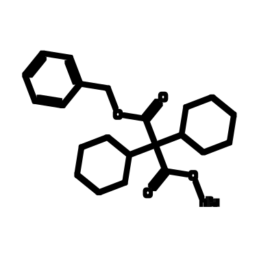 CCCCOC(=O)C(C(=O)OCc1ccccc1)(C1CCCCC1)C1CCCCC1